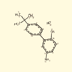 CC(C)(C)c1ccc(-c2cc(N)ccc2O)cc1.Cl